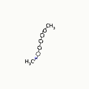 CC/C=C/C1CCC(c2ccc(-c3ccc(-c4ccc(COCCC)cc4)cc3)cc2)CC1